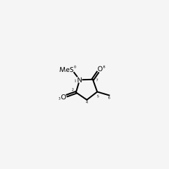 CSN1C(=O)CC(C)C1=O